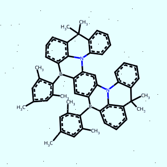 Cc1cc(C)c(B2c3cc4c(cc3N3c5ccccc5C(C)(C)c5cccc2c53)N2c3ccccc3C(C)(C)c3cccc(c32)B4c2c(C)cc(C)cc2C)c(C)c1